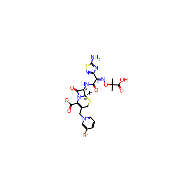 CC(C)(O/N=C(\C(=O)N[C@@H]1C(=O)N2C(C(=O)[O-])=C(C[n+]3cccc(Br)c3)CS[C@H]12)c1nsc(N)n1)C(=O)O